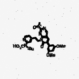 COc1cc(OC)cc(-c2cc3cnc([S+](C)[O-])nc3n(CCc3ccnc(N(C(=O)O)C(C)(C)C)c3)c2=O)c1